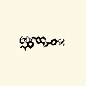 CCC(C)c1ccccc1N1CCCS/C1=N/N=C/c1ccc2c(ccn3c(-c4ccc(OC(F)(F)F)cc4)cnc23)c1